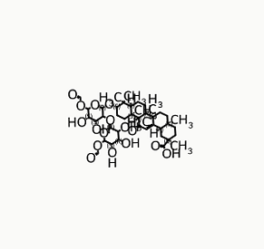 CC1(C)[C@@H](O[C@@H]2OC(OC=O)[C@@H](O)[C@H](O)C2O[C@@H]2OC(OC=O)[C@@H](O)[C@H](O)C2O)CC[C@]2(C)[C@H]3C(=O)C=C4[C@@H]5C[C@@](C)(C(=O)O)CC[C@]5(C)CC[C@@]4(C)[C@]3(C)CC[C@@H]12